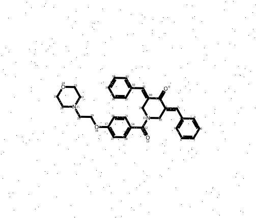 O=C1/C(=C/c2ccccc2)CN(C(=O)c2ccc(OCCN3CCOCC3)cc2)C/C1=C\c1ccccc1